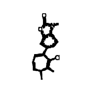 CC1=C(Cl)C(c2ccc3c(c2)oc(=O)n3C)=CC=CC1C